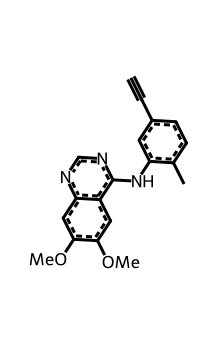 C#Cc1ccc(C)c(Nc2ncnc3cc(OC)c(OC)cc23)c1